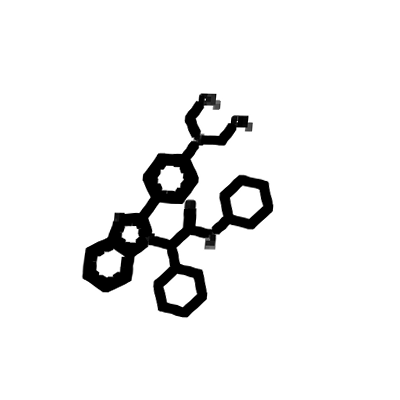 CCN(CC)c1ccc(-c2nc3ccccc3n2C(C(=O)NC2CCCCC2)C2CCCCC2)cc1